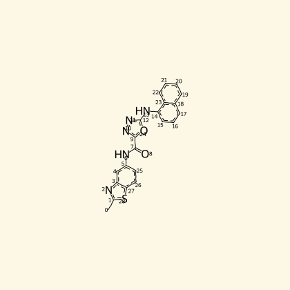 Cc1nc2cc(NC(=O)c3nnc(Nc4cccc5ccccc45)o3)ccc2s1